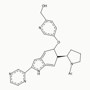 CC(=O)N1CCC[C@@H]1C1C=c2[nH]c(-c3cnccn3)cc2=CC1Oc1ccc(CO)nc1